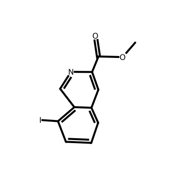 COC(=O)c1cc2cccc(I)c2cn1